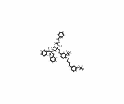 CC[C@@](CCc1ccc(OCCCc2cccc(OC(F)(F)F)c2)c(C(F)(F)F)c1)(COP(=O)(Cc1ccccc1)Cc1ccccc1)NC(=O)OCc1ccccc1